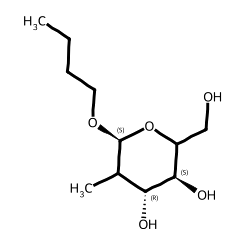 CCCCO[C@H]1OC(CO)[C@@H](O)[C@H](O)C1C